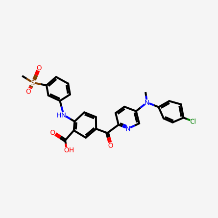 CN(c1ccc(Cl)cc1)c1ccc(C(=O)c2ccc(Nc3cccc(S(C)(=O)=O)c3)c(C(=O)O)c2)nc1